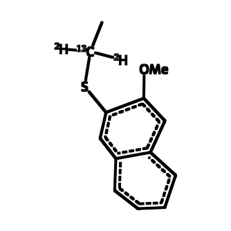 [2H][13C]([2H])(C)Sc1cc2ccccc2cc1OC